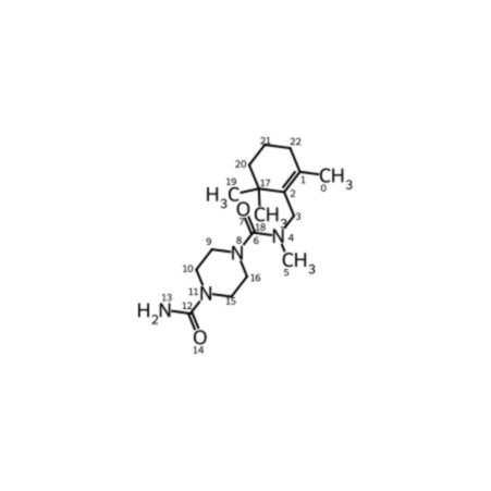 CC1=C(CN(C)C(=O)N2CCN(C(N)=O)CC2)C(C)(C)CCC1